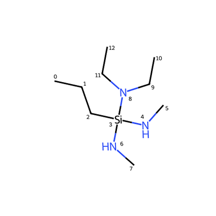 CCC[Si](NC)(NC)N(CC)CC